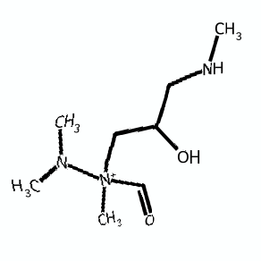 CNCC(O)C[N+](C)(C=O)N(C)C